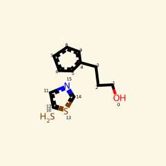 OCCCc1ccccc1.S.c1cscn1